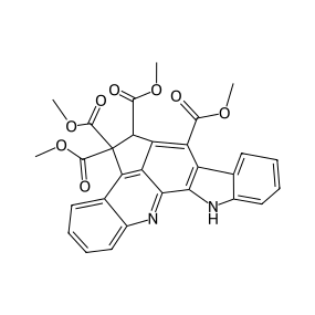 COC(=O)c1c2c3c(c4ccccc4nc3c3[nH]c4ccccc4c13)C(C(=O)OC)(C(=O)OC)C2C(=O)OC